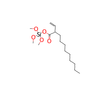 C=CC(CCCCCCCCC)C(=O)O[Si](OC)(OC)OC